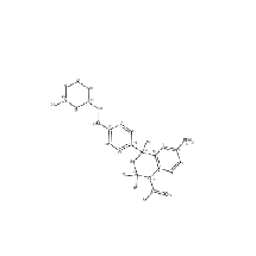 CC(=O)N1c2ccc(N)cc2C(C)(c2ccc(OCC3CCCN(C)C3)cc2)CC1(C)C